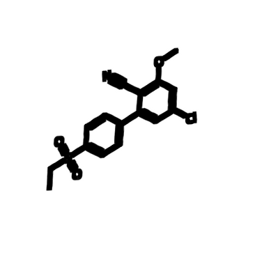 CCS(=O)(=O)c1ccc(-c2cc(Cl)cc(OC)c2C#N)cc1